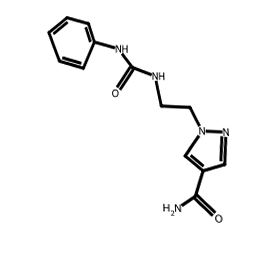 NC(=O)c1cnn(CCNC(=O)Nc2ccccc2)c1